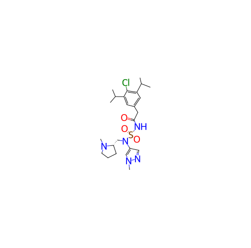 CC(C)c1cc(CC(=O)NS(=O)(=O)N(C[C@@H]2CCCN2C)c2cnn(C)c2)cc(C(C)C)c1Cl